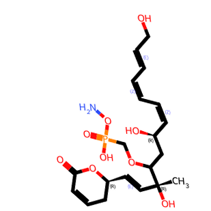 C[C@@](O)(/C=C/[C@H]1CC=CC(=O)O1)C(C[C@@H](O)\C=C/C=C\C=C\CO)OCP(=O)(O)ON